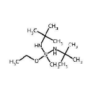 CCO[Si](C)(NC(C)(C)C)NC(C)(C)C